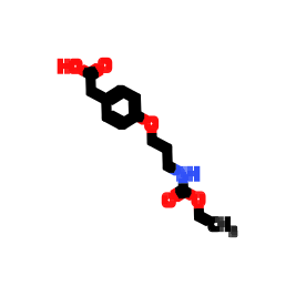 CCOC(=O)NCCCOc1ccc(CC(=O)O)cc1